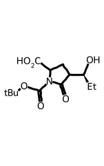 CC[C@H](O)C1CC(C(=O)O)N(C(=O)OC(C)(C)C)C1=O